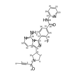 CC#CC(=O)N1CCC(c2nc(-c3ccc(C(=O)Nc4ccccn4)cc3F)n3c(N)nccc23)C1